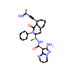 CC(=N)C#Cc1cccc2cc([C@H](C)NC(=O)c3c(N)nn4cccnc34)n(-c3ccccc3)c(=O)c12